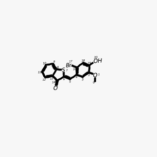 COc1cc(/C=C2\Sc3ccccc3C2=O)c(Br)cc1O